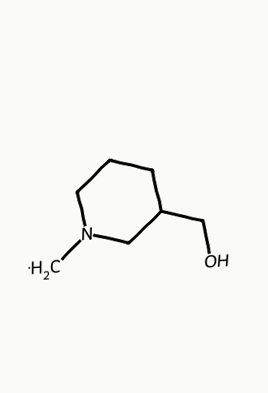 [CH2]N1CCCC(CO)C1